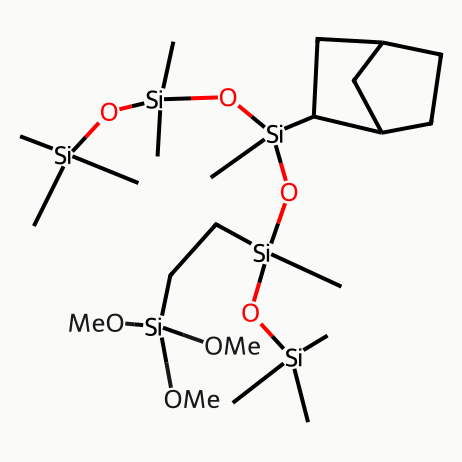 CO[Si](CC[Si](C)(O[Si](C)(C)C)O[Si](C)(O[Si](C)(C)O[Si](C)(C)C)C1CC2CCC1C2)(OC)OC